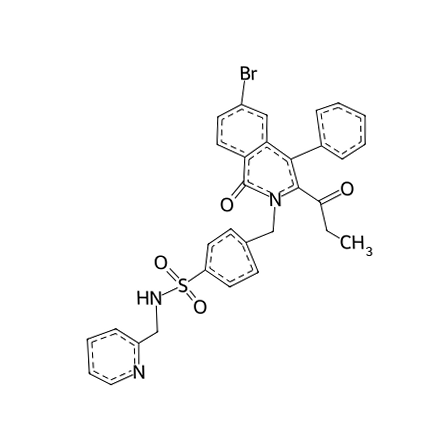 CCC(=O)c1c(-c2ccccc2)c2cc(Br)ccc2c(=O)n1Cc1ccc(S(=O)(=O)NCc2ccccn2)cc1